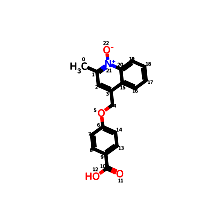 Cc1cc(COc2ccc(C(=O)O)cc2)c2ccccc2[n+]1[O-]